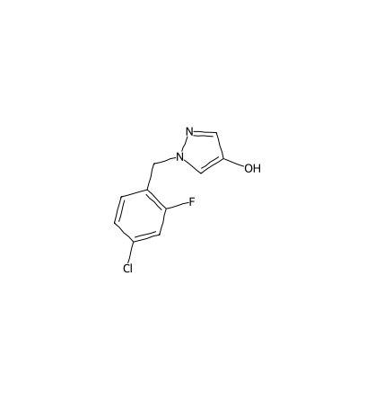 Oc1cnn(Cc2ccc(Cl)cc2F)c1